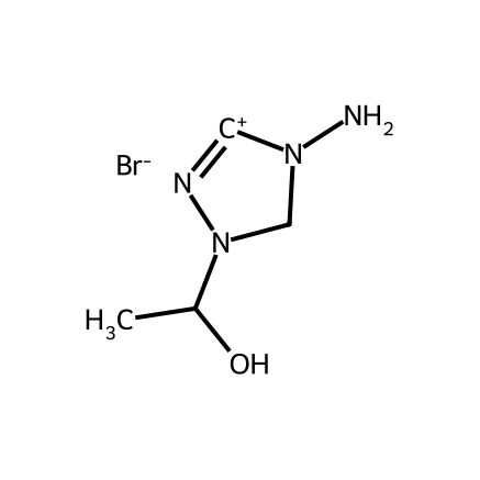 CC(O)N1CN(N)[C+]=N1.[Br-]